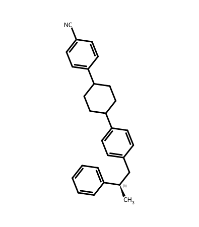 C[C@H](Cc1ccc(C2CCC(c3ccc(C#N)cc3)CC2)cc1)c1ccccc1